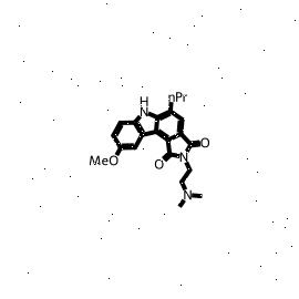 CCCc1cc2c(c3c1[nH]c1ccc(OC)cc13)C(=O)N(CCN(C)C)C2=O